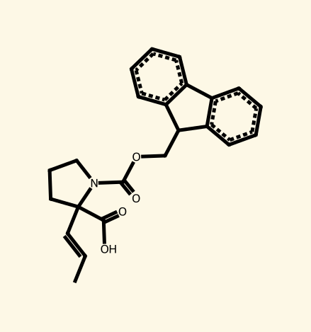 CC=CC1(C(=O)O)CCCN1C(=O)OCC1c2ccccc2-c2ccccc21